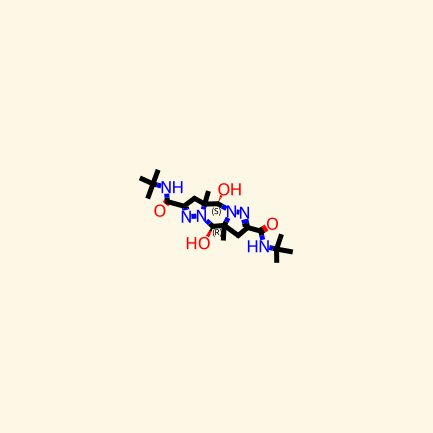 CC(C)(C)NC(=O)C1=NN2[C@H](O)C3(C)CC(C(=O)NC(C)(C)C)=NN3[C@@H](O)C2(C)C1